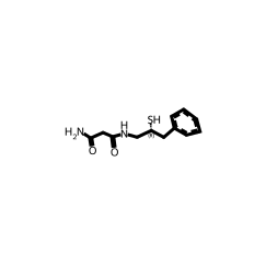 NC(=O)CC(=O)NC[C@H](S)Cc1ccccc1